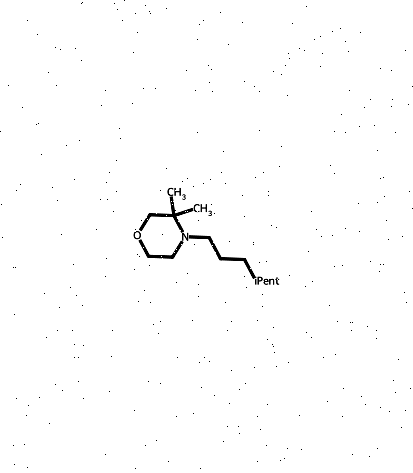 CCCC(C)CCCN1CCOCC1(C)C